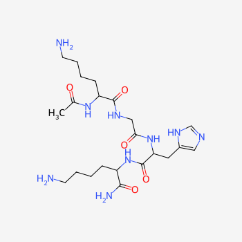 CC(=O)NC(CCCCN)C(=O)NCC(=O)NC(Cc1cnc[nH]1)C(=O)NC(CCCCN)C(N)=O